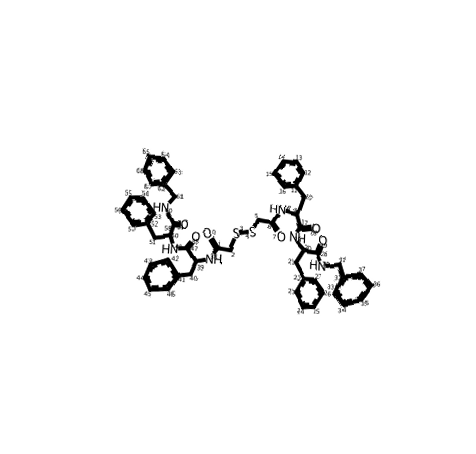 O=C(CSSCC(=O)NC(Cc1ccccc1)C(=O)NC(Cc1ccccc1)C(=O)NCc1ccccc1)NC(Cc1ccccc1)C(=O)NC(Cc1ccccc1)C(=O)NCc1ccccc1